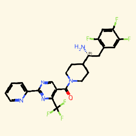 N[C@H](Cc1cc(F)c(F)cc1F)C1CCN(C(=O)c2cnc(-c3ccccn3)nc2C(F)(F)F)CC1